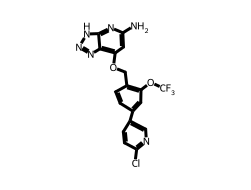 Nc1cc(OCc2ccc(-c3ccc(Cl)nc3)cc2OC(F)(F)F)c2nn[nH]c2n1